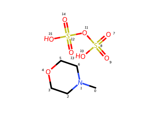 CN1CCOCC1.O=S(=O)(O)OS(=O)(=O)O